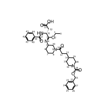 CCOC(=NC1CCCN(C(=O)CCC2CCN(C(=O)OCc3ccccc3)CC2)C1)[C@@H](CC(=O)O)NC(=O)c1ccccc1